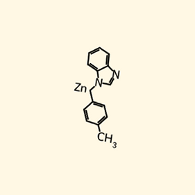 Cc1ccc(Cn2cnc3ccccc32)cc1.[Zn]